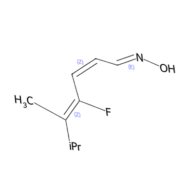 C\C(=C(F)/C=C\C=N\O)C(C)C